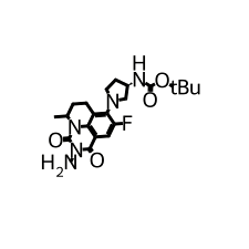 CC1CCc2c(N3CC[C@H](NC(=O)OC(C)(C)C)C3)c(F)cc3c(=O)n(N)c(=O)n1c23